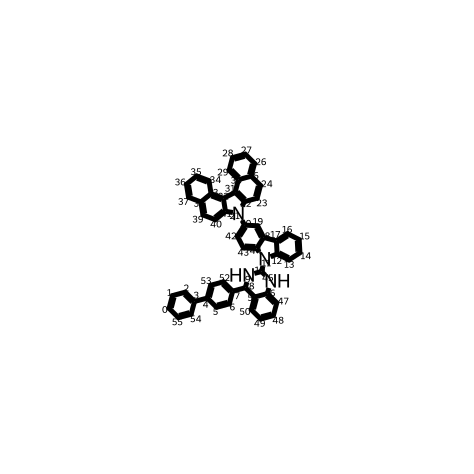 c1ccc(-c2ccc(C3NC(n4c5ccccc5c5cc(-n6c7ccc8ccccc8c7c7c8ccccc8ccc76)ccc54)Nc4ccccc43)cc2)cc1